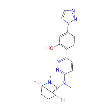 CN(c1ccc(-c2ccc(-n3ccnn3)cc2O)nn1)C1C(F)[C@@]2(C)CC[C@@H]1CN2C